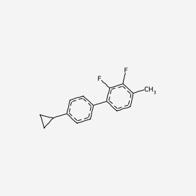 Cc1ccc(-c2ccc(C3CC3)cc2)c(F)c1F